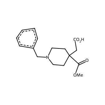 COC(=O)C1(CC(=O)O)CCN(Cc2ccccc2)CC1